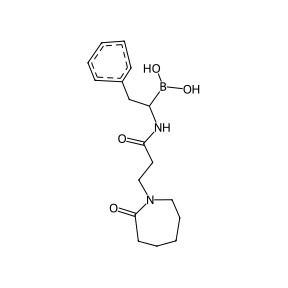 O=C(CCN1CCCCCC1=O)NC(Cc1ccccc1)B(O)O